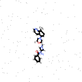 C[C@@H]1CN(c2ccc(C#N)c3ncccc23)C[C@H](CN2CC(NC(=O)c3ccccc3)C2)O1